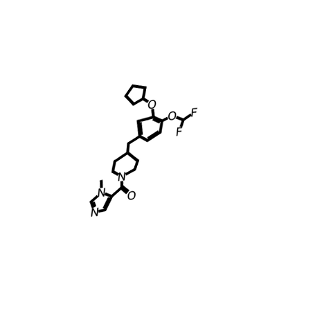 Cn1cncc1C(=O)N1CCC(Cc2ccc(OC(F)F)c(OC3CCCC3)c2)CC1